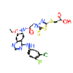 CCOc1cc2ncnc(Nc3ccc(F)c(Cl)c3)c2cc1NC(=O)Cn1nc(SCC(=O)O)sc1=S